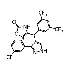 O=c1[nH]c(C(c2cc(C(F)(F)F)cc(C(F)(F)F)c2)c2c[nH]nc2-c2cccc(Cl)c2)no1